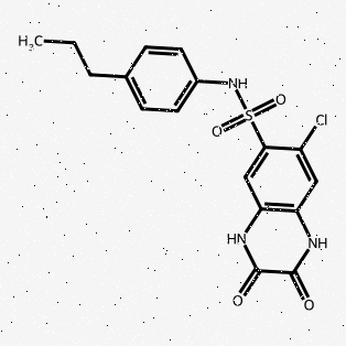 CCCc1ccc(NS(=O)(=O)c2cc3[nH]c(=O)c(=O)[nH]c3cc2Cl)cc1